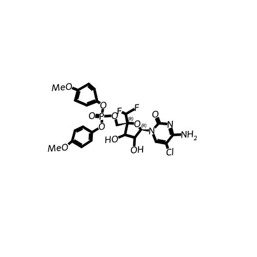 COc1ccc(OP(=O)(OC[C@@]2(C(F)F)O[C@@H](n3cc(Cl)c(N)nc3=O)C(O)C2O)Oc2ccc(OC)cc2)cc1